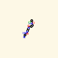 CN(C)c1ccc(NC(=O)N2CCC3(CC2)CCN(C(=O)c2ccc4c(c2)C(NC(=O)c2ccccc2Cl)CC4)CC3)cc1